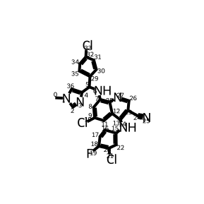 Cn1cnc(C(Nc2cc(Cl)cc3c(Nc4ccc(F)c(Cl)c4)c(C#N)cnc23)c2ccc(Cl)cc2)c1